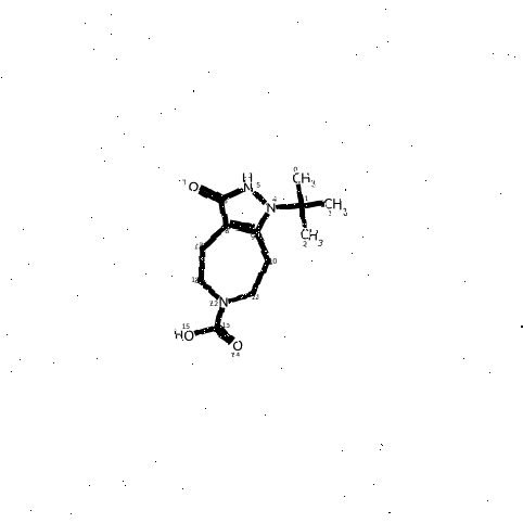 CC(C)(C)n1[nH]c(=O)c2c1CCN(C(=O)O)CC2